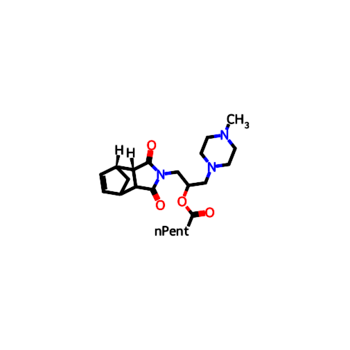 CCCCCC(=O)OC(CN1CCN(C)CC1)CN1C(=O)C2C3C=C[C@@H](C3)[C@@H]2C1=O